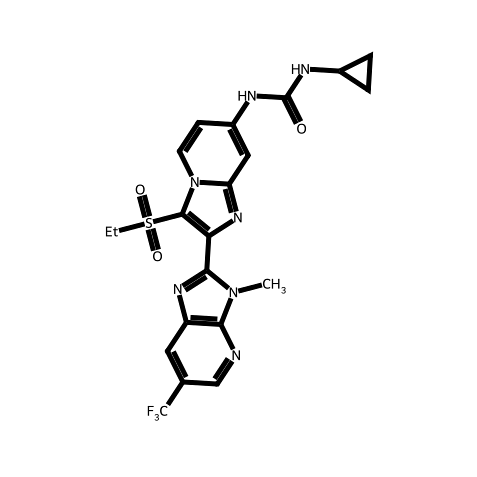 CCS(=O)(=O)c1c(-c2nc3cc(C(F)(F)F)cnc3n2C)nc2cc(NC(=O)NC3CC3)ccn12